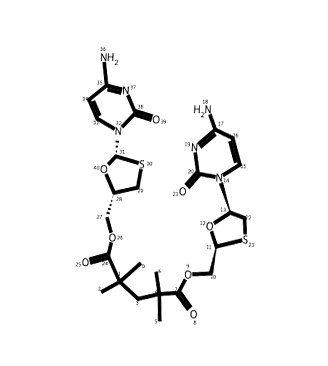 CC(C)(CC(C)(C)C(=O)OC[C@H]1O[C@@H](n2ccc(N)nc2=O)CS1)C(=O)OC[C@H]1CS[C@@H](n2ccc(N)nc2=O)O1